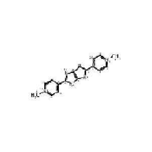 C[n+]1ccc(C2=Nc3sc(-c4cc[n+](C)cc4)nc3C2)cc1